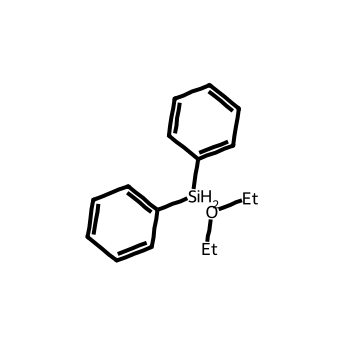 CCOCC.c1ccc([SiH2]c2ccccc2)cc1